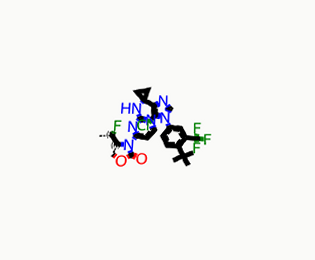 C[C@H](F)[C@H]1COC(=O)N1c1ccnc(NC2(c3ncn(-c4ccc(C(C)(C)C)c(C(F)(F)F)c4)c3Cl)CC2)n1